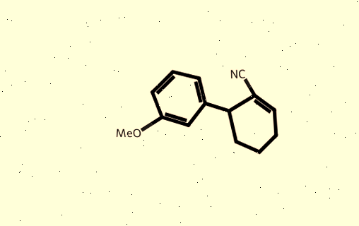 COc1cccc(C2CCCC=C2C#N)c1